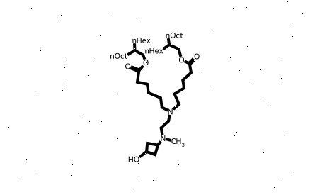 CCCCCCCCC(CCCCCC)COC(=O)CCCCCN(CCCCCC(=O)OCC(CCCCCC)CCCCCCCC)CCN(C)C1CC(O)C1